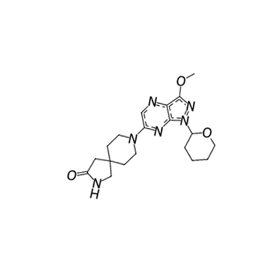 COc1nn(C2CCCCO2)c2nc(N3CCC4(CC3)CNC(=O)C4)cnc12